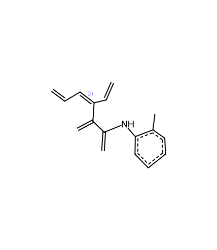 C=C/C=C(/C=C)C(=C)C(=C)Nc1ccccc1C